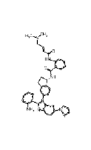 CN(C)C/C=C/C(=O)Nc1ccccc1C(=O)N[C@H]1CCc2cc(-n3c(-c4cccnc4N)nc4ccc(-n5cccn5)nc43)ccc21